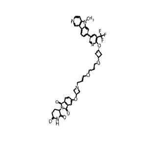 Cn1c2ccncc2c2ccc(-c3cnc(O[C@H]4C[C@H](OCCCOCCCN5CC(Oc6ccc7c(c6)C(=O)N(C6CCC(=O)NC6=O)C7=O)C5)C4)c(C(F)(F)F)c3)cc21